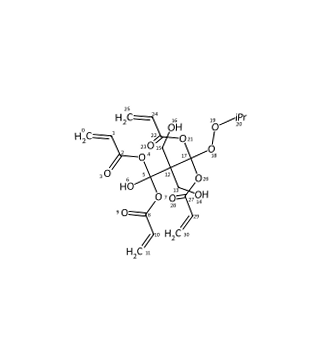 C=CC(=O)OC(O)(OC(=O)C=C)C(CO)(CO)C(OOC(C)C)(OC(=O)C=C)OC(=O)C=C